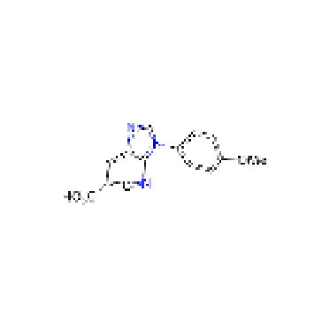 COc1ccc(-n2cnc3cc(C(=O)O)cnc32)cc1